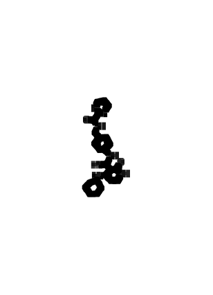 N=C(Nc1ccc(CNC(=O)c2ncccn2)cc1)c1c(NC2CCCCC2)cc[nH]c1=O